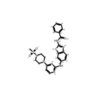 CS(=O)(=O)N1CCN(c2ccnc(Nc3ccc4nc(NC(=O)c5ccccc5)sc4c3)n2)CC1